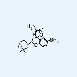 Bc1ccc2c(c1)C1(CC(C3CCOC(C)(C)C3)O2)N=C(N)N(C)O1